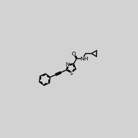 O=C(NCC1CC1)c1csc(C#Cc2ccccc2)n1